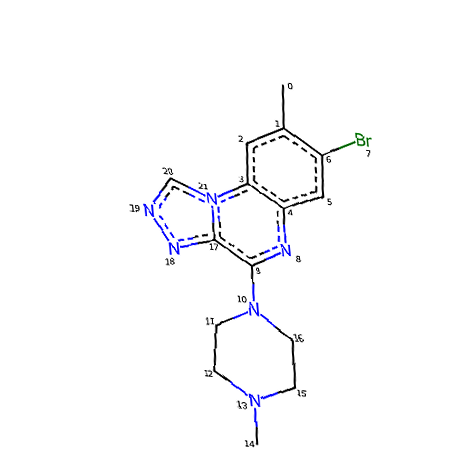 Cc1cc2c(cc1Br)nc(N1CCN(C)CC1)c1nncn12